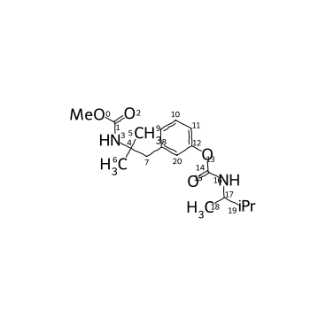 COC(=O)NC(C)(C)Cc1cccc(OC(=O)NC(C)C(C)C)c1